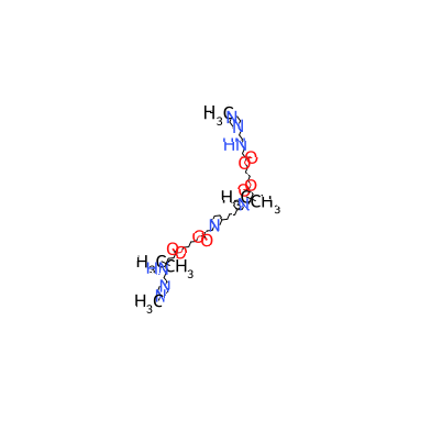 CN1CCN(CCCNCCC(=O)OCCCCOC(=O)CC(C)(C)CN2CCCC(CCCC3CCCN(CCC(=O)OCCCCOC(=O)CCC(C)(C)NCCCN4CCN(C)CC4)C3)C2)CC1